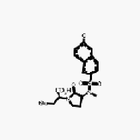 CN([C@H]1CCN([C@@H](CC(C)(C)C)C(=O)O)C1=O)S(=O)(=O)c1ccc2cc(Cl)ccc2c1